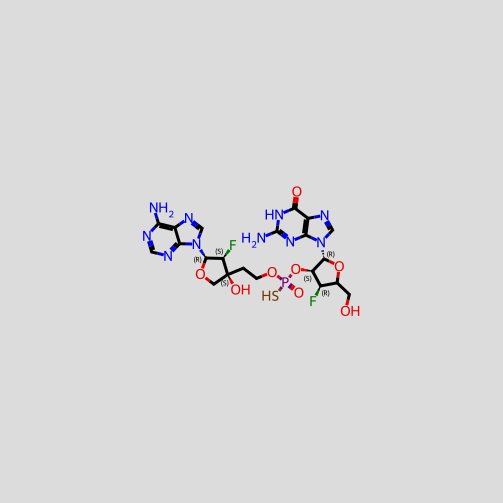 Nc1nc2c(ncn2[C@@H]2OC(CO)[C@@H](F)[C@H]2OP(=O)(S)OCC[C@]2(O)CO[C@@H](n3cnc4c(N)ncnc43)[C@H]2F)c(=O)[nH]1